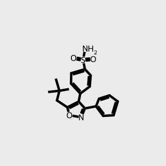 CC(C)(C)Cc1onc(-c2ccccc2)c1-c1ccc(S(N)(=O)=O)cc1